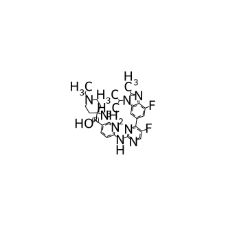 CCN1CCC(N)([C@H](O)c2ccc(Nc3ncc(F)c(-c4cc(F)c5nc(C)n(C(C)C)c5c4)n3)nc2)CC1